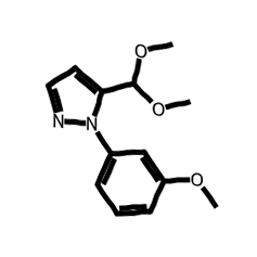 COc1cccc(-n2nccc2C(OC)OC)c1